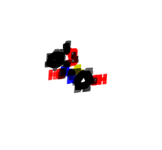 CC(=O)[C@H]1C2C=CC(C2)[C@H]1C(=O)N(O)c1nc2ccc(O)cc2s1